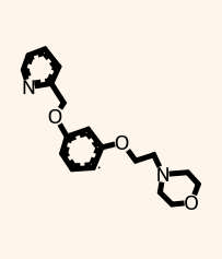 [c]1ccc(OCc2ccccn2)cc1OCCN1CCOCC1